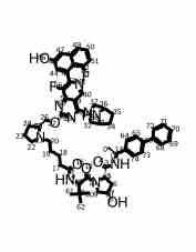 C[C@H](NC(=O)[C@@H]1C[C@@H](O)CN1C(=O)[C@@H](NC(=O)CCCCN1CCC[C@H]1COc1nc(N2CC3CCC(C2)N3)c2cnc(-c3cc(O)cc4cccc(F)c34)c(F)c2n1)C(C)(C)C)c1ccc(-c2ccccc2)cc1